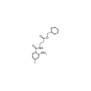 Nc1cc(I)ccc1C(=O)NCCC(=O)OCc1ccccc1